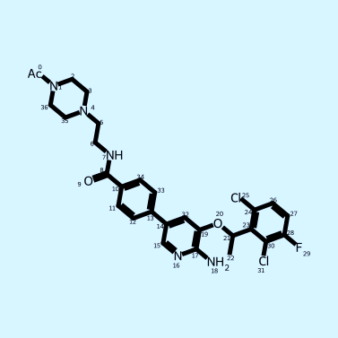 CC(=O)N1CCN(CCNC(=O)c2ccc(-c3cnc(N)c(OC(C)c4c(Cl)ccc(F)c4Cl)c3)cc2)CC1